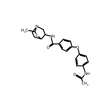 CC(=O)Nc1ccc(Oc2ccc(C(=O)NC3CN4CCC3CC4C)cc2)cc1